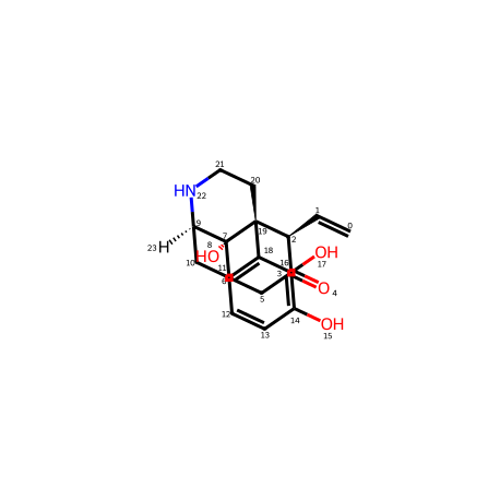 C=C[C@H]1C(=O)CC[C@@]2(O)[C@H]3Cc4ccc(O)c(O)c4[C@@]12CCN3